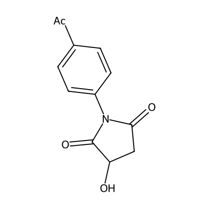 CC(=O)c1ccc(N2C(=O)CC(O)C2=O)cc1